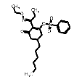 CCCCCCC1CC(=O)C(C(CC)=NOCC)=C(OS(=O)(=O)c2ccccc2)C1